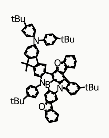 CC(C)(C)c1ccc(N2B3c4cc5oc6ccccc6c5cc4-n4c5ccc(C(C)(C)C)cc5c5c6c(oc7ccccc76)c(c3c54)-c3cc4c(cc32)C(C)(C)c2ccc(N(c3ccc(C(C)(C)C)cc3)c3ccc(C(C)(C)C)cc3)cc2-4)cc1